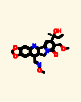 CC[C@](C)(O)c1cc2n(c(=O)c1COC)Cc1c-2nc2cc3c(cc2c1/C=N/OC)OCO3